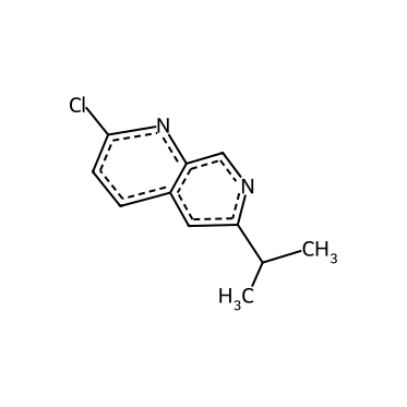 CC(C)c1cc2ccc(Cl)nc2cn1